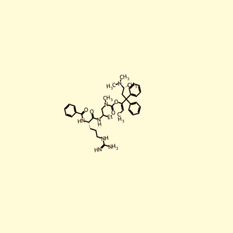 C/C=C(\OC(=O)N(C)CC(CC)NC(=O)[C@H](CCCNC(=N)N)NC(=O)c1ccccc1)C(C[C@@H](C)N(C)C)(c1ccccc1)c1ccccc1